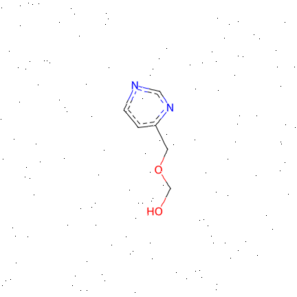 OCOCc1ccncn1